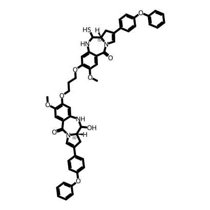 COc1cc2c(cc1OCCCOc1cc3c(cc1OC)C(=O)N1C=C(c4ccc(Oc5ccccc5)cc4)C[C@H]1C(S)N3)NC(O)[C@@H]1CC(c3ccc(Oc4ccccc4)cc3)=CN1C2=O